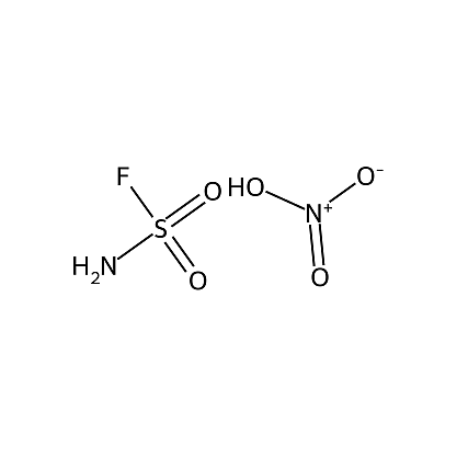 NS(=O)(=O)F.O=[N+]([O-])O